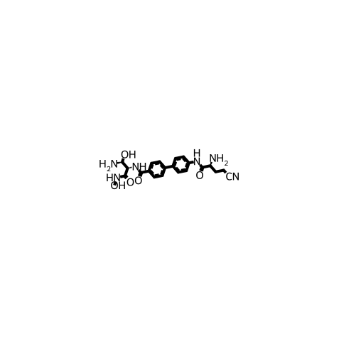 N#CCC[C@H](N)C(=O)Nc1ccc(-c2ccc(C(=O)N[C@H](C(=O)NO)[C@@H](N)O)cc2)cc1